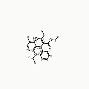 CCOC(=O)C1=C(CC)Nc2c(C)cnc(OC(C)C)c2C1c1ccccc1